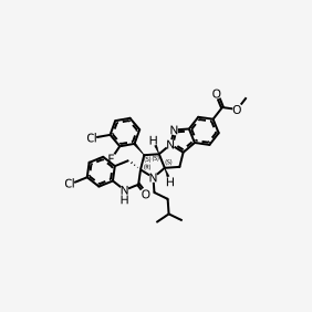 COC(=O)c1ccc2c3n(nc2c1)[C@@H]1[C@H](C3)N(CCC(C)C)[C@]2(Cc3ccc(Cl)cc3NC2=O)[C@H]1c1cccc(Cl)c1F